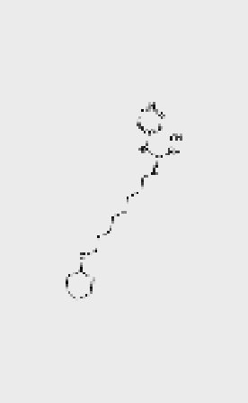 N#CNC(=NCCCCCCCCOC1CCCCO1)Nc1ccncc1